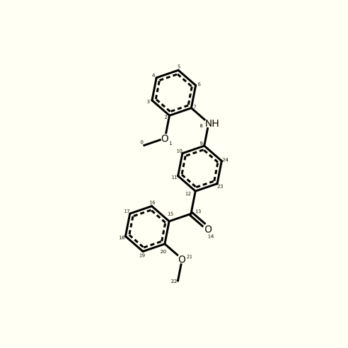 COc1ccccc1Nc1ccc(C(=O)c2ccccc2OC)cc1